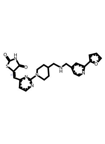 O=C1NC(=O)/C(=C\c2ccnc(N3CCC(CNCc4ccnc(-c5ccco5)c4)CC3)n2)S1